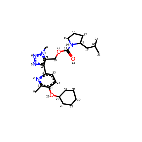 Cc1nc(-c2nnn(C)c2COC(=O)N2CCCC2CC(C)C)ccc1OC1CCCCC1